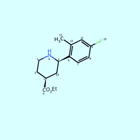 CCOC(=O)[C@H]1CCN[C@@H](c2ccc(F)cc2C)C1